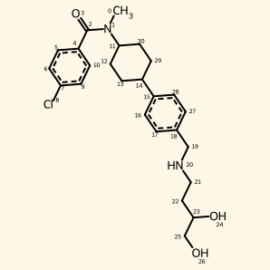 CN(C(=O)c1ccc(Cl)cc1)C1CCC(c2ccc(CNCCC(O)CO)cc2)CC1